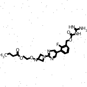 CCCC(=O)OCCON=C1CN(c2ncc(-c3cccc(COC(=O)NC(=N)N)c3F)cn2)C1